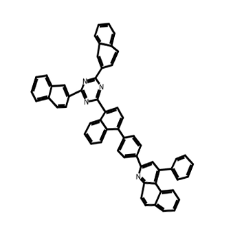 c1ccc(-c2cc(-c3ccc(-c4ccc(-c5nc(-c6ccc7ccccc7c6)nc(-c6ccc7ccccc7c6)n5)c5ccccc45)cc3)nc3ccc4ccccc4c23)cc1